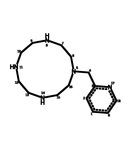 c1ccc(CN2CCNCCNCCNCC2)nc1